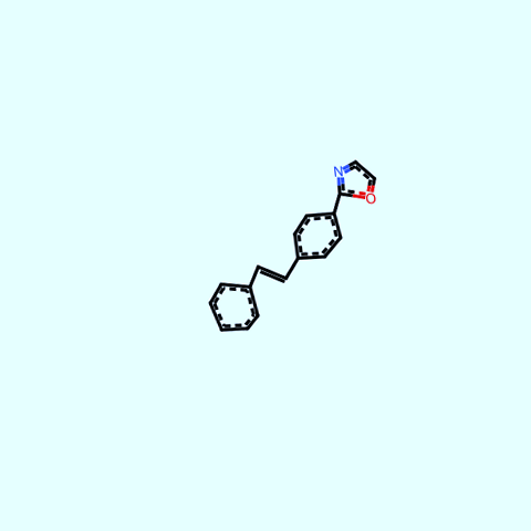 C(=Cc1ccc(-c2ncco2)cc1)c1ccccc1